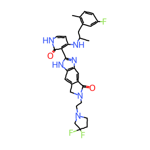 Cc1ccc(F)cc1CC(C)Nc1cc[nH]c(=O)c1-c1nc2cc3c(cc2[nH]1)CN(CCN1CCC(F)(F)C1)C3=O